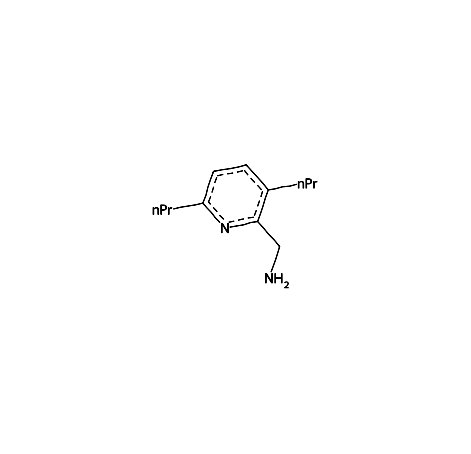 CCCc1ccc(CCC)c(CN)n1